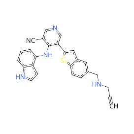 C#CCNCc1ccc2sc(-c3cncc(C#N)c3Nc3cccc4[nH]ccc34)cc2c1